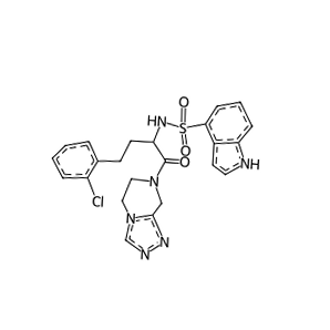 O=C(C(CCc1ccccc1Cl)NS(=O)(=O)c1cccc2[nH]ccc12)N1CCn2cnnc2C1